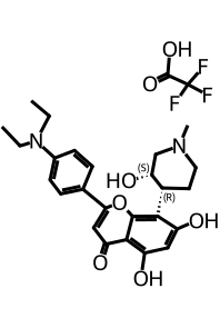 CCN(CC)c1ccc(-c2cc(=O)c3c(O)cc(O)c([C@H]4CCN(C)C[C@H]4O)c3o2)cc1.O=C(O)C(F)(F)F